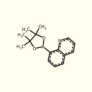 CC1(C)OB(c2cccc3cccnc23)OC1(C)C